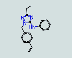 C=Cc1ccc(Cn2nc(CC)nc2Nc2ccccc2)cc1